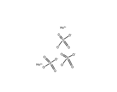 O=S(=O)([O-])[O-].O=S(=O)([O-])[O-].O=S(=O)([O-])[O-].[Ho+3].[Ho+3]